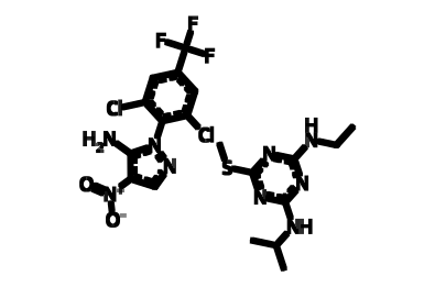 CCNc1nc(NC(C)C)nc(SC)n1.Nc1c([N+](=O)[O-])cnn1-c1c(Cl)cc(C(F)(F)F)cc1Cl